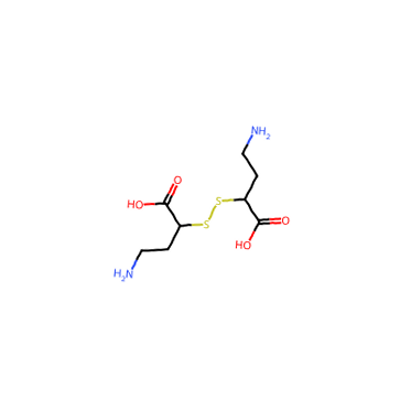 NCCC(SSC(CCN)C(=O)O)C(=O)O